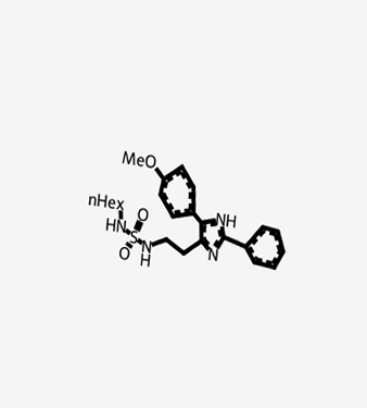 CCCCCCNS(=O)(=O)NCCc1nc(-c2ccccc2)[nH]c1-c1ccc(OC)cc1